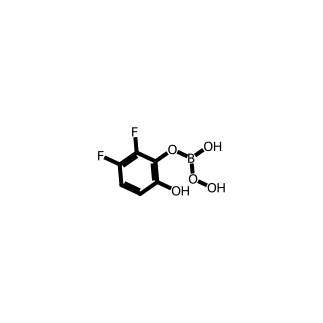 OOB(O)Oc1c(O)ccc(F)c1F